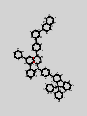 c1ccc(-c2cccc(-c3ccccc3N(c3ccc(-c4ccc(-c5cccc(-c6ccc7ccccc7c6)c5)cc4)cc3)c3ccc(-c4ccc5c(c4)C(c4ccccc4)(c4ccccc4)c4ccccc4-5)cc3)c2)cc1